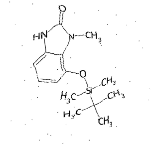 Cn1c(=O)[nH]c2cccc(O[Si](C)(C)C(C)(C)C)c21